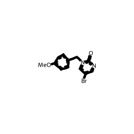 COc1ccc(Cn2cc(Br)cnc2=O)cc1